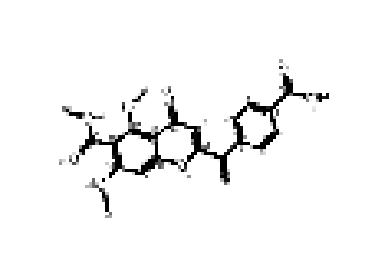 C=C(c1ccc(C(=O)O)cc1)c1cc(=O)c2c(OC)c(C(=O)OC)c(OC)cc2o1